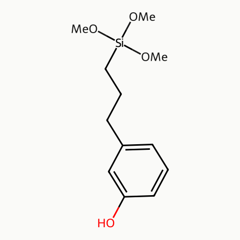 CO[Si](CCCc1cccc(O)c1)(OC)OC